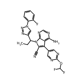 CCC(c1cn(-c2ccccc2F)nn1)n1c(C#N)c(-c2cnc(OC(F)F)nc2)c2c(N)ncnc21